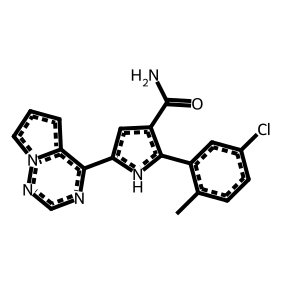 Cc1ccc(Cl)cc1-c1[nH]c(-c2ncnn3cccc23)cc1C(N)=O